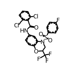 O=C(Nc1ccc2c(c1)N(S(=O)(=O)c1ccc(F)cc1)CC(C(F)(F)F)O2)c1c(Cl)cccc1Cl